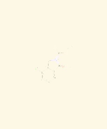 CC(C)(C)OC(=O)N1Cc2c(Cl)cccc2C1=O